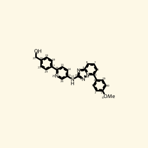 COc1ccc(-c2cccc3nc(Nc4ccc(-c5ccc(CO)cc5)nc4)nn23)cc1